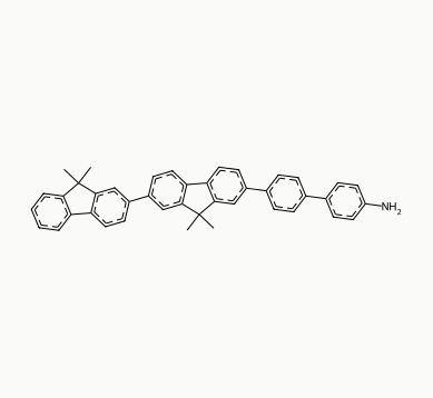 CC1(C)c2ccccc2-c2ccc(-c3ccc4c(c3)C(C)(C)c3cc(-c5ccc(-c6ccc(N)cc6)cc5)ccc3-4)cc21